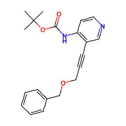 CC(C)(C)OC(=O)Nc1ccncc1C#CCOCc1ccccc1